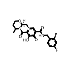 CC1CCO[C@H]2Cn3cc(C(=O)NCc4ccc(F)cc4F)c(=O)c(O)c3C(=O)N12